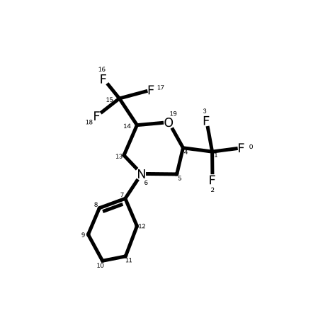 FC(F)(F)C1CN(C2=CCCCC2)CC(C(F)(F)F)O1